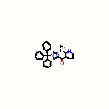 Cc1ncccc1C(=O)c1cn(C(c2ccccc2)(c2ccccc2)c2ccccc2)cn1